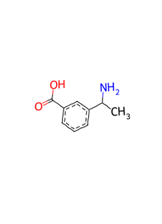 CC(N)c1cccc(C(=O)O)c1